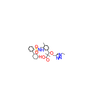 CCn1cc(COC(c2ccc(C)c(CNS(=O)(=O)c3ccccc3C3CCCCC3)c2)C(C)(C)C(=O)O)nn1